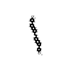 FC(F)(F)c1ccc(-c2ccc3cc4cc(/C=C/c5ccc6cc7cc(-c8ccc(C(F)(F)F)cc8)ccc7cc6c5)ccc4cc3c2)cc1